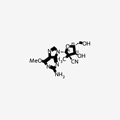 COc1nc(N)nc2c1ncn2[C@@H]1O[C@H](CO)[C@@H](O)[C@@]1(C)C#N